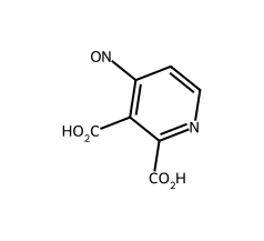 O=Nc1ccnc(C(=O)O)c1C(=O)O